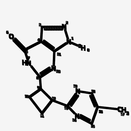 [2H]n1ncc2c(=O)[nH]c(C3CCC3c3ncc(C)cn3)nc21